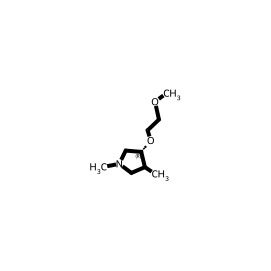 COCCO[C@H]1CN(C)CC1C